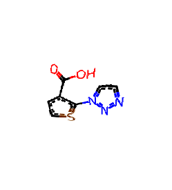 O=C(O)c1ccsc1-n1ccnn1